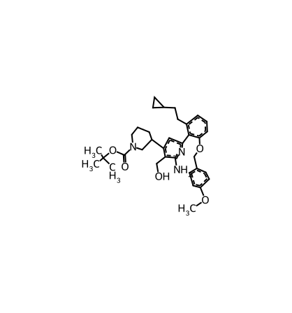 COc1ccc(COc2cccc(CCC3CC3)c2-c2cc(C3CCCN(C(=O)OC(C)(C)C)C3)c(CO)c(N)n2)cc1